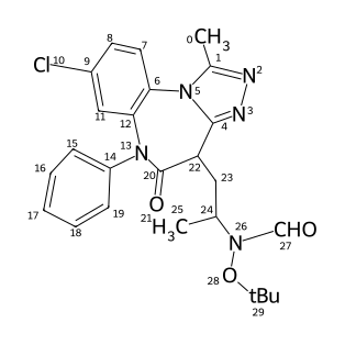 Cc1nnc2n1-c1ccc(Cl)cc1N(c1ccccc1)C(=O)C2CC(C)N(C=O)OC(C)(C)C